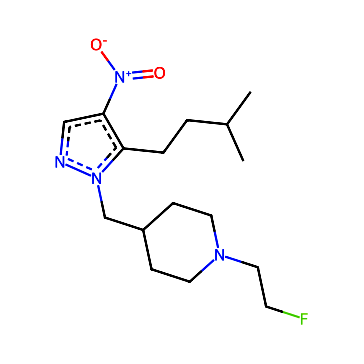 CC(C)CCc1c([N+](=O)[O-])cnn1CC1CCN(CCF)CC1